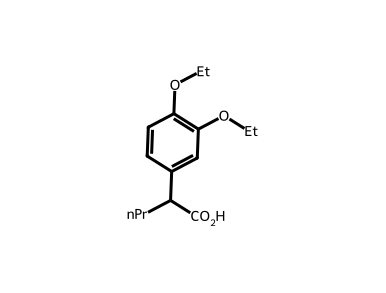 CCCC(C(=O)O)c1ccc(OCC)c(OCC)c1